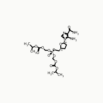 CC(C)OC(=O)OCOP(=O)(OCOC(=O)OC(C)C)OC[C@@H]1CC[C@H](n2cnc(C(N)=O)c2N)O1